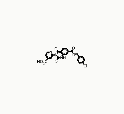 O=C(O)c1ccnc(-n2c(=S)[nH]c3cc(C(=O)NCc4ccc(Cl)cc4)ccc3c2=O)c1